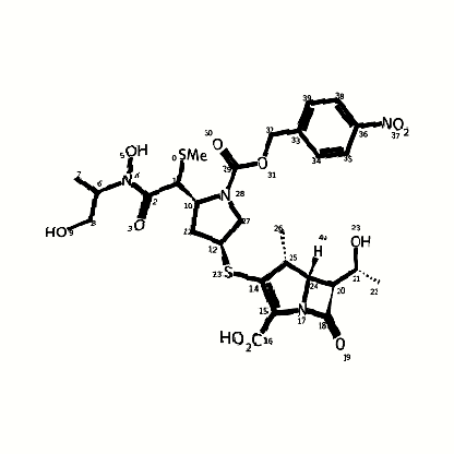 CSC(C(=O)N(O)C(C)CO)[C@@H]1C[C@H](SC2=C(C(=O)O)N3C(=O)[C@H]([C@@H](C)O)[C@H]3[C@H]2C)CN1C(=O)OCc1ccc([N+](=O)[O-])cc1